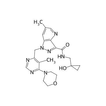 Cc1cnc2c(C(=O)NCC3(O)CC3)nn(Cc3ncnc(N4CCOCC4)c3C)c2c1